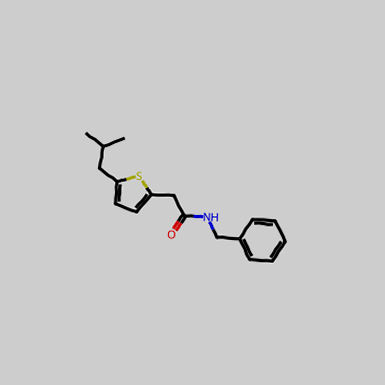 CC(C)Cc1ccc(CC(=O)NCc2ccccc2)s1